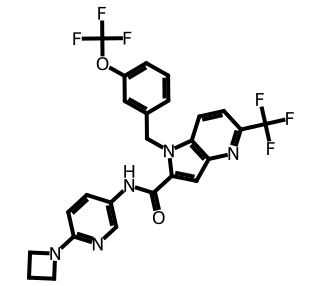 O=C(Nc1ccc(N2CCC2)nc1)c1cc2nc(C(F)(F)F)ccc2n1Cc1cccc(OC(F)(F)F)c1